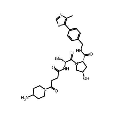 Cc1ncsc1-c1ccc(CNC(=O)[C@@H]2C[C@@H](O)CN2C(=O)[C@@H](NC(=O)CCC(=O)N2CCC(N)CC2)C(C)(C)C)cc1